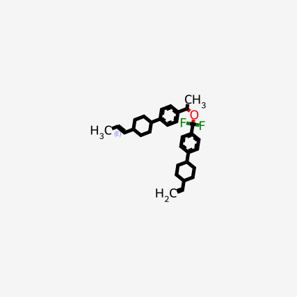 C=CC1CCC(c2ccc(C(F)(F)OC(C)c3ccc(C4CCC(/C=C/C)CC4)cc3)cc2)CC1